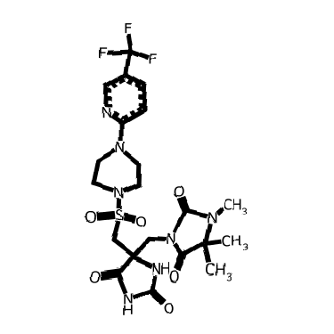 CN1C(=O)N(CC2(CS(=O)(=O)N3CCN(c4ccc(C(F)(F)F)cn4)CC3)NC(=O)NC2=O)C(=O)C1(C)C